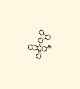 Brc1ccc2c(c1)N(c1ccc3c4ccccc4c4ccccc4c3c1)c1cc3ccccc3cc1N2c1ccccc1